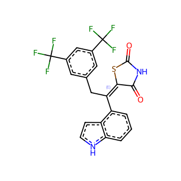 O=C1NC(=O)/C(=C(/Cc2cc(C(F)(F)F)cc(C(F)(F)F)c2)c2cccc3[nH]ccc23)S1